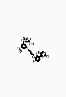 C[SH](O)(Cc1cc(OCCCCOc2c(F)ccc(-c3nc(Cl)ncc3F)c2F)cc([N+](=O)[O-])c1)=NC(=O)O